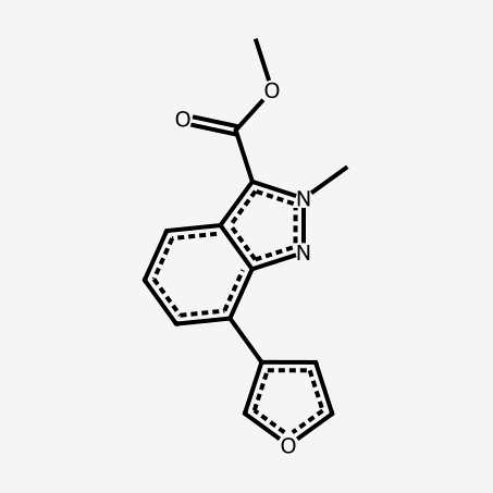 COC(=O)c1c2cccc(-c3ccoc3)c2nn1C